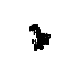 CC(C)(C)OC(=O)N(CCCCOC(=O)c1ccc(COc2cccc(C(NC(=O)O[C@H]3CN4CCC3CC4)c3ccccc3)c2)o1)CC(O[Si](C)(C)C(C)(C)C)c1ccc(OCc2ccccc2)c2[nH]c(=O)ccc12.O=CO